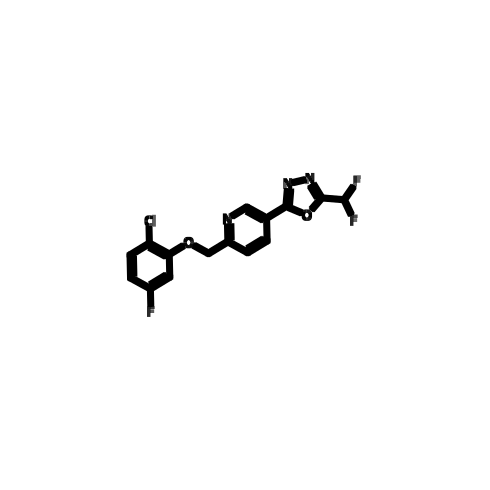 Fc1ccc(Cl)c(OCc2ccc(-c3nnc(C(F)F)o3)cn2)c1